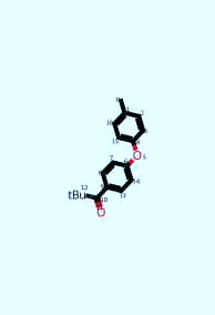 Cc1ccc(Oc2ccc(C(=O)C(C)(C)C)cc2)cc1